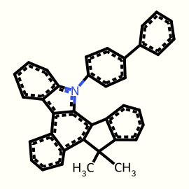 CC1(C)c2ccccc2-c2c1c1ccccc1c1c3ccccc3n(-c3ccc(-c4ccccc4)cc3)c21